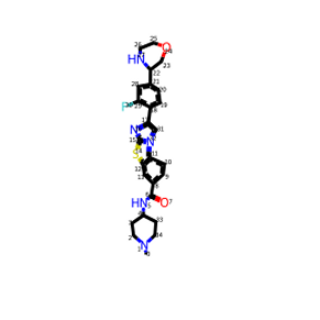 CN1CCC(NC(=O)c2ccc3c(c2)sc2nc(-c4ccc(C5COCCN5)cc4F)cn23)CC1